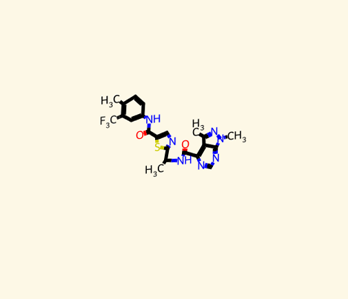 Cc1ccc(NC(=O)c2cnc(C(C)NC(=O)c3ncnc4c3c(C)nn4C)s2)cc1C(F)(F)F